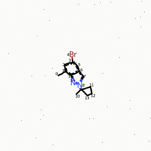 Cc1cc(Br)cc2cn(C3(C)CCC3)nc12